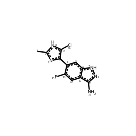 Cc1nc(-c2cc3[nH]nc(N)c3cc2F)c(Cl)[nH]1